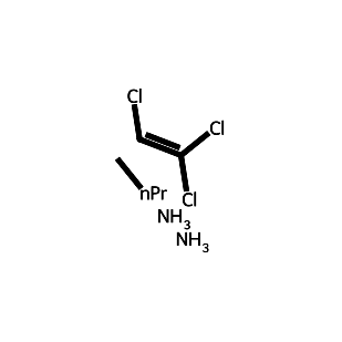 CCCC.ClC=C(Cl)Cl.N.N